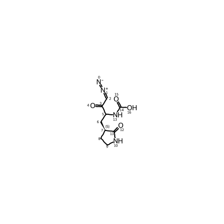 [N-]=[N+]=CC(=O)C(C[C@@H]1CCNC1=O)NC(=O)O